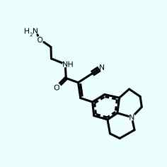 N#C/C(=C\c1cc2c3c(c1)CCCN3CCC2)C(=O)NCCON